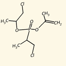 C=C(C)OP(=O)(OC(C)CCl)C(C)CCl